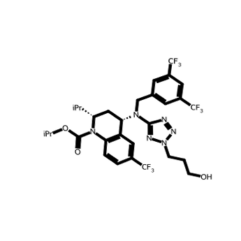 CC(C)OC(=O)N1c2ccc(C(F)(F)F)cc2[C@@H](N(Cc2cc(C(F)(F)F)cc(C(F)(F)F)c2)c2nnn(CCCO)n2)C[C@H]1C(C)C